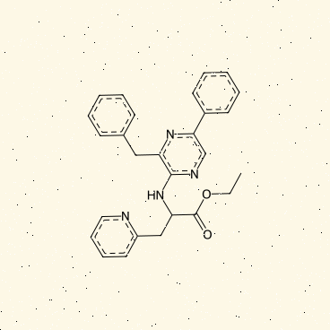 CCOC(=O)C(Cc1ccccn1)Nc1ncc(-c2ccccc2)nc1Cc1ccccc1